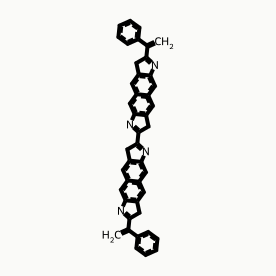 C=C(C1=Nc2cc3cc4c(cc3cc2C1)N=C(C1=Nc2cc3cc5c(cc3cc2C1)N=C(C(=C)c1ccccc1)C5)C4)c1ccccc1